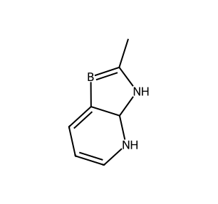 CC1=BC2=CC=CNC2N1